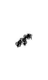 CCS(=O)(=O)c1ccc(Oc2cc(OC(C)C)cc(C(=O)Nc3ccn(C)n3)c2)cn1